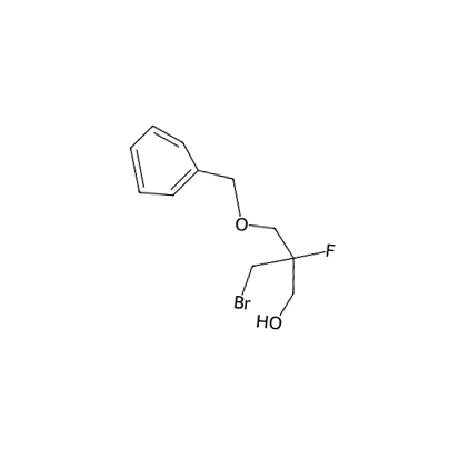 OCC(F)(CBr)COCc1ccccc1